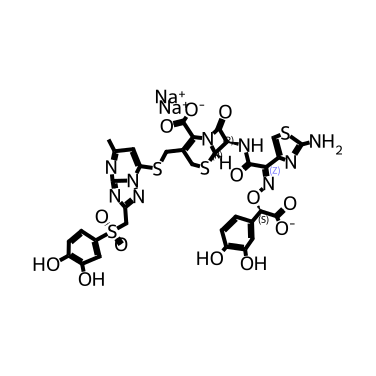 Cc1cc(SCC2=C(C(=O)[O-])N3C(=O)[C@@H](NC(=O)/C(=N\O[C@H](C(=O)[O-])c4ccc(O)c(O)c4)c4csc(N)n4)[C@H]3SC2)n2nc(CS(=O)(=O)c3ccc(O)c(O)c3)nc2n1.[Na+].[Na+]